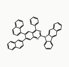 c1ccc(-c2nc(-n3c4ccccc4c4cc5ccccc5cc43)nc3cc(-c4ccc5ccccc5c4)c(-c4cccc5ccccc45)cc23)cc1